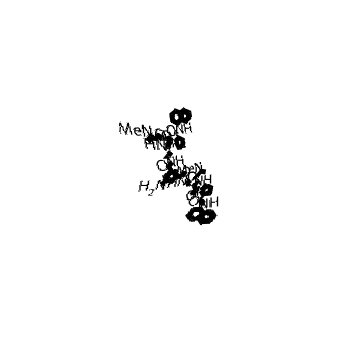 CN[C@@H](C)C(=O)N[C@@H](CCNC(=O)c1cc(N)cc(C(=O)NCC[C@H](NC(=O)[C@H](C)NC)C(=O)N2CCC[C@H]2C(=O)N[C@@H]2CCCc3ccccc32)c1)C(=O)N1CCC[C@H]1C(=O)N[C@@H]1CCCc2ccccc21